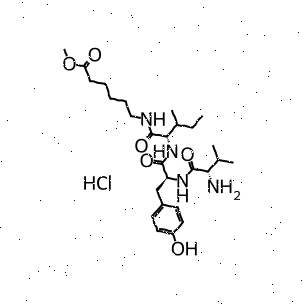 CCC(C)[C@H](NC(=O)[C@H](Cc1ccc(O)cc1)NC(=O)[C@@H](N)C(C)C)C(=O)NCCCCCC(=O)OC.Cl